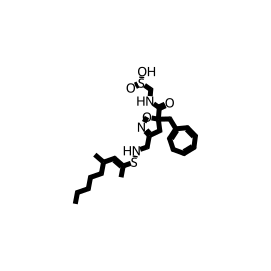 CCCCCC(C)C=C(C)SNCC1=NOC(CC2=CCC=CC=C2)(C(=O)NCS(=O)O)C1